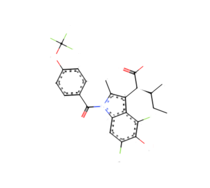 CCC(C)[C@H](C(=O)O)c1c(C)n(C(=O)c2ccc(OC(F)(F)F)cc2)c2cc(F)c(O)c(F)c12